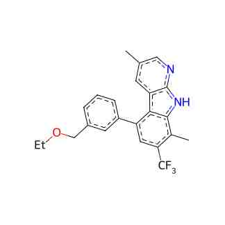 CCOCc1cccc(-c2cc(C(F)(F)F)c(C)c3[nH]c4ncc(C)cc4c23)c1